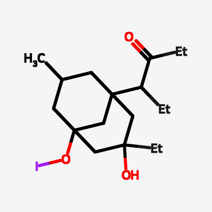 CCC(=O)C(CC)C12CC(C)CC(OI)(CC(O)(CC)C1)C2